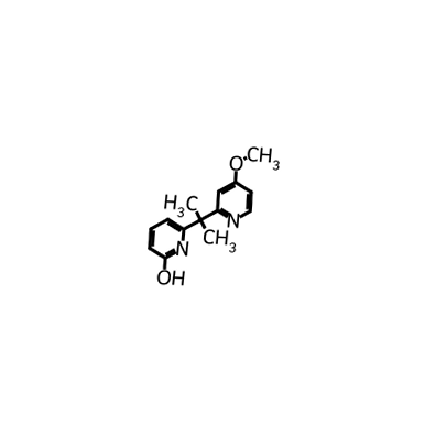 COc1ccnc(C(C)(C)c2cccc(O)n2)c1